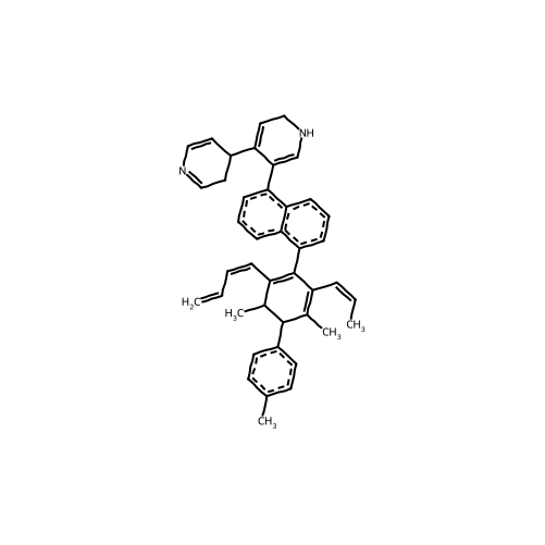 C=C/C=C\C1=C(c2cccc3c(C4=CNCC=C4C4C=CN=CC4)cccc23)C(/C=C\C)=C(C)C(c2ccc(C)cc2)C1C